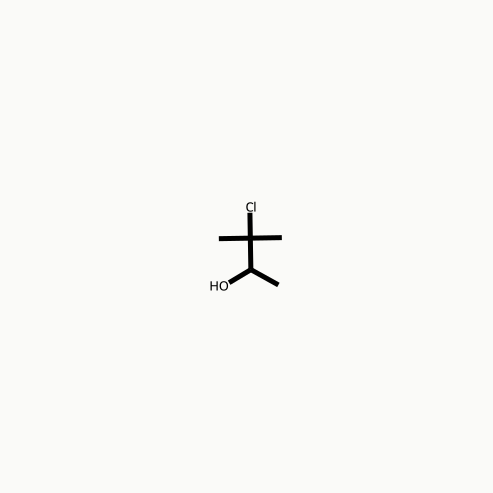 CC(O)C(C)(C)Cl